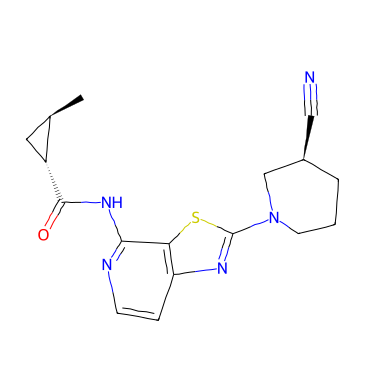 C[C@@H]1C[C@H]1C(=O)Nc1nccc2nc(N3CCC[C@H](C#N)C3)sc12